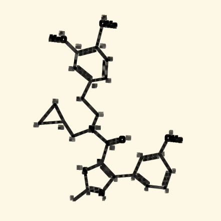 COc1cccc(-c2nc(C)sc2C(=O)N(CCc2ccc(OC)c(OC)c2)CC2CC2)c1